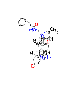 C[C@H]1C[C@H]2O[C@]3(CC[C@H]4[C@@H]5CCC6=CC(=O)CC[C@]6(C)[C@@]5(N)CC45CC53C)[C@H](C)[C@@H]2N(CCNC(=O)CCc2ccccc2)C1